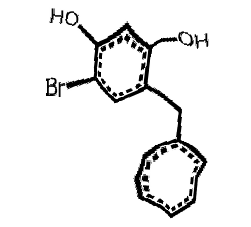 Oc1cc(O)c(Cc2ccccc2)cc1Br